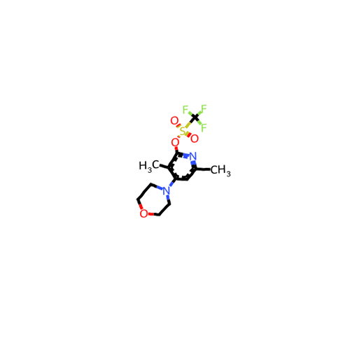 Cc1cc(N2CCOCC2)c(C)c(OS(=O)(=O)C(F)(F)F)n1